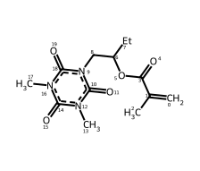 C=C(C)C(=O)OC(CC)Cn1c(=O)n(C)c(=O)n(C)c1=O